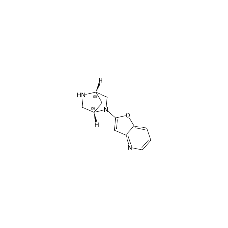 c1cnc2cc(N3C[C@@H]4C[C@H]3CN4)oc2c1